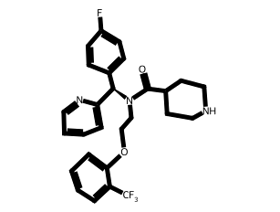 O=C(C1CCNCC1)N(CCOc1ccccc1C(F)(F)F)[C@H](c1ccc(F)cc1)c1ccccn1